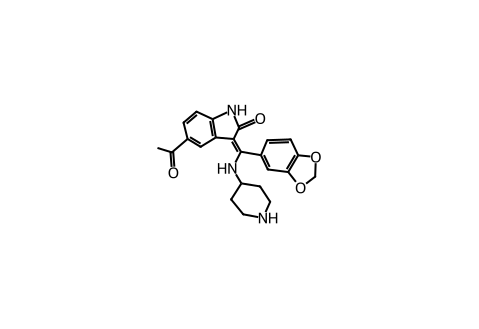 CC(=O)c1ccc2c(c1)C(=C(NC1CCNCC1)c1ccc3c(c1)OCO3)C(=O)N2